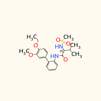 CCOc1ccc(-c2ccccc2NC(=O)[C@@H](NS(C)(=O)=O)C(C)C)cc1OC